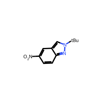 CC(C)(C)n1cc2cc([N+](=O)[O-])ccc2n1